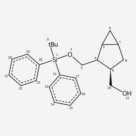 CC(C)(C)[Si](OCC1C2CC2C[C@H]1CO)(c1ccccc1)c1ccccc1